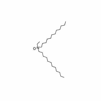 CCCCCCCCCCCC[N+]([O-])(CC)CCCCCCCCCCCC